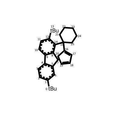 CC(C)(C)c1ccc2c(c1)Cc1c-2ccc(C(C)(C)C)c1C1(C2=CC=CC2)CCCCC1